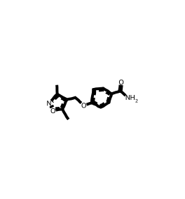 Cc1noc(C)c1COc1ccc(C(N)=O)cc1